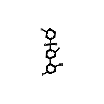 O=S(=O)(c1cccc(F)c1)c1ccc(-c2cc(F)ccc2O)cc1F